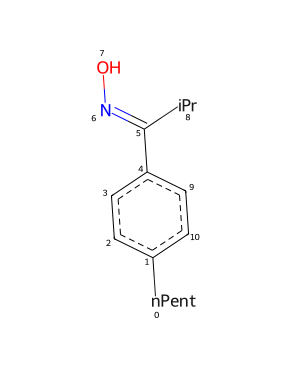 CCCCCc1ccc(C(=NO)C(C)C)cc1